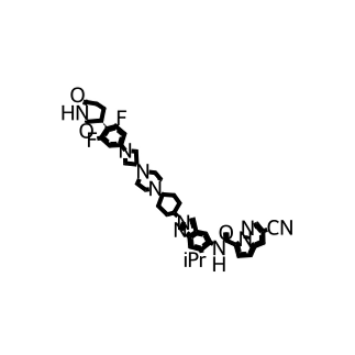 CC(C)c1cc2nn(C3CCC(N4CCN(C5CN(c6cc(F)c([C@H]7CCC(=O)NC7=O)c(F)c6)C5)CC4)CC3)cc2cc1NC(=O)c1ccc2cc(C#N)cnn12